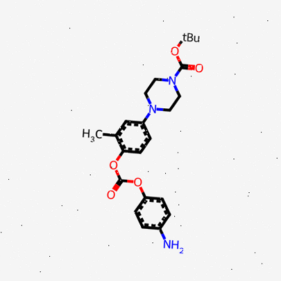 Cc1cc(N2CCN(C(=O)OC(C)(C)C)CC2)ccc1OC(=O)Oc1ccc(N)cc1